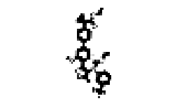 CCOC(=O)N(c1cccc(C(F)(F)F)c1)c1c(C)noc1-c1ccc(-c2ccc(C3(C(=O)OCC)CC3)cc2)cc1OC